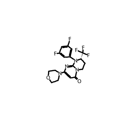 O=c1cc(N2CCOCC2)nc2n1CC[C@@H](C(F)(F)F)N2c1cc(F)cc(F)c1